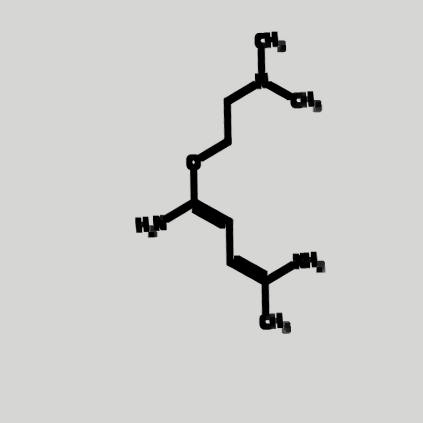 C/C(N)=C/C=C(\N)OCCN(C)C